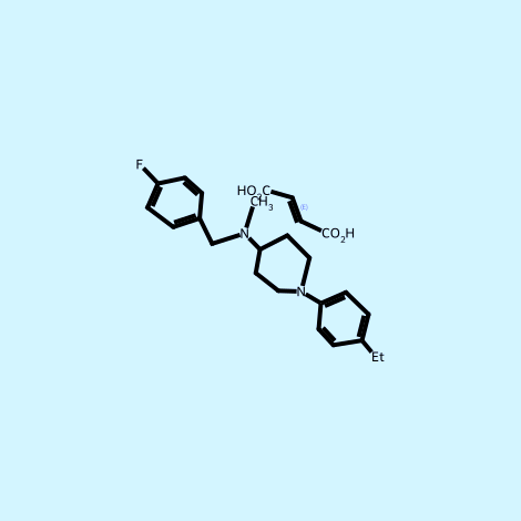 CCc1ccc(N2CCC(N(C)Cc3ccc(F)cc3)CC2)cc1.O=C(O)/C=C/C(=O)O